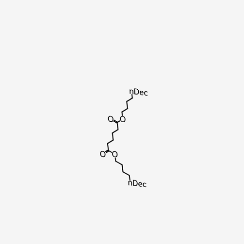 CCCCCCCCCCCCCCOC(=O)CCCCC(=O)OCCCCCCCCCCCCCC